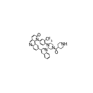 O=C(C1CCNCC1)N1CCN(c2ccc(-n3c(=O)ccc4cnc5ccc(-c6cnc7ccccc7c6)cc5c43)cc2C(F)(F)F)CC1